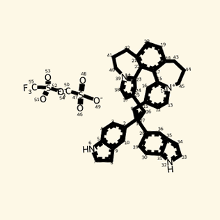 C(=C\c1ccc2[nH]ccc2c1)/c1cc[n+]2c(c1)-c1c(ccc3c1-c1cc(/C=C/c4ccc5[nH]ccc5c4)cc[n+]1CCC3)CCC2.O=S(=O)([O-])C(F)(F)F.O=S(=O)([O-])C(F)(F)F